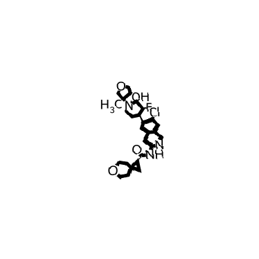 CC1(N2CC[C@H](c3cc4cc(NC(=O)[C@@H]5CC56CCOCC6)ncc4cc3Cl)[C@H](F)C2)COCC1O